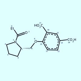 CCC(=O)N1CCC[C@H]1COc1ccc(C(=O)O)cc1C(=O)O